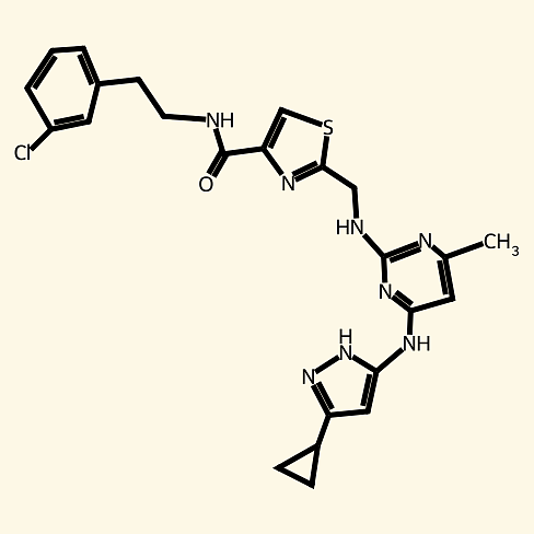 Cc1cc(Nc2cc(C3CC3)n[nH]2)nc(NCc2nc(C(=O)NCCc3cccc(Cl)c3)cs2)n1